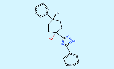 N#C[C@]1(c2ccccc2)CC[C@](O)(c2n[nH]c(-c3ccccc3)n2)CC1